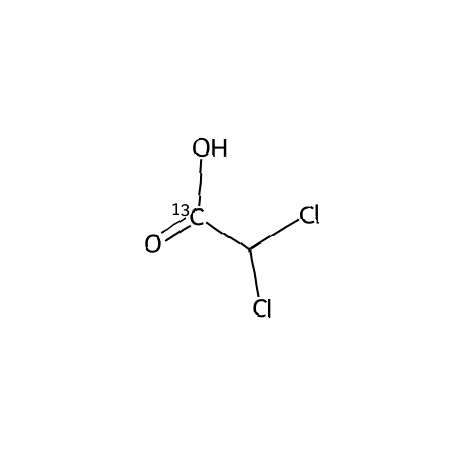 O=[13C](O)C(Cl)Cl